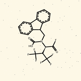 O=C(F)[C@@H](C(C(F)(F)F)C(F)(F)F)N(CC1c2ccccc2-c2ccccc21)C(=O)O